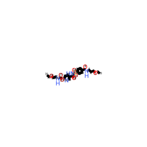 CCOCCCNC(=O)c1ccc(S(=O)(=O)NC(=O)c2ccc(OC(=O)NCCOCC)nc2)cc1